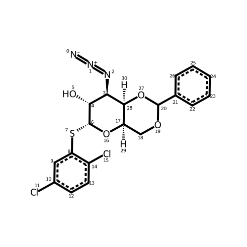 [N-]=[N+]=N[C@@H]1[C@@H](O)[C@@H](Sc2cc(Cl)ccc2Cl)O[C@@H]2COC(c3ccccc3)O[C@H]12